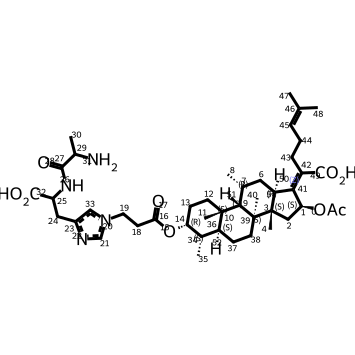 CC(=O)O[C@H]1C[C@@]2(C)[C@@H](C[C@@H](C)[C@H]3[C@@]4(C)CC[C@@H](OC(=O)CCn5cnc(CC(NC(=O)C(C)N)C(=O)O)c5)[C@@H](C)[C@@H]4CC[C@@]32C)/C1=C(\CCC=C(C)C)C(=O)O